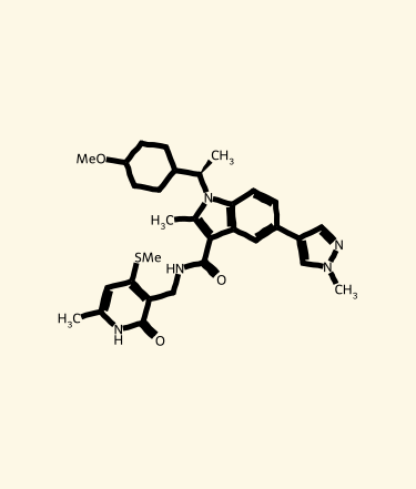 COC1CCC([C@@H](C)n2c(C)c(C(=O)NCc3c(SC)cc(C)[nH]c3=O)c3cc(-c4cnn(C)c4)ccc32)CC1